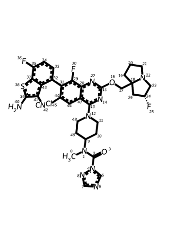 CN(C(=O)n1cncn1)C1CCN(c2nc(OCC34CCCN3C[C@H](F)C4)nc3c(F)c(-c4ccc(F)c5sc(N)c(C#N)c45)c(Cl)cc23)CC1